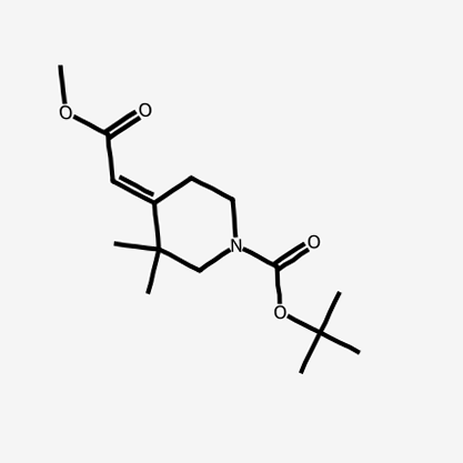 COC(=O)C=C1CCN(C(=O)OC(C)(C)C)CC1(C)C